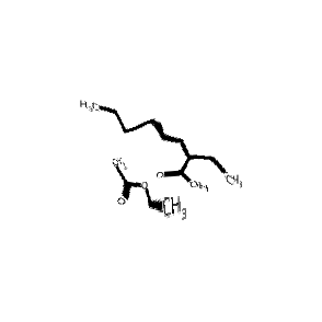 CCCCCCC(CC)C(=O)O.CCOC(C)=O